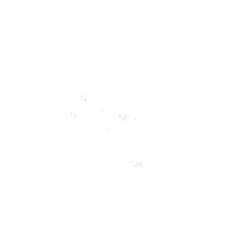 COC1CCN(c2ncc(C3CCC3)cc2C2(C(=O)NS(=O)(=O)c3cccc4[nH]ccc34)CC2)CC1